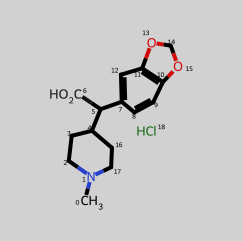 CN1CCC(C(C(=O)O)c2ccc3c(c2)OCO3)CC1.Cl